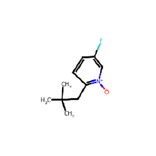 CC(C)(C)Cc1ccc(F)c[n+]1[O-]